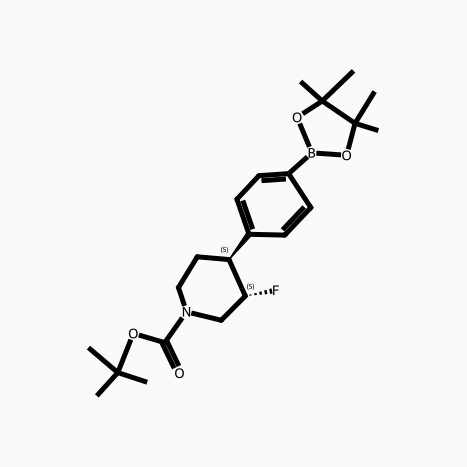 CC(C)(C)OC(=O)N1CC[C@@H](c2ccc(B3OC(C)(C)C(C)(C)O3)cc2)[C@H](F)C1